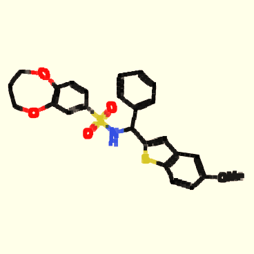 COc1ccc2sc(C(NS(=O)(=O)c3ccc4c(c3)OCCCO4)c3ccccc3)cc2c1